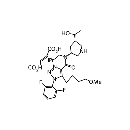 COCCCCc1c(C(=O)N(CC(C)C)[C@@H]2CNC[C@H](C(C)O)C2)nnn1-c1c(F)cccc1F.O=C(O)/C=C/C(=O)O